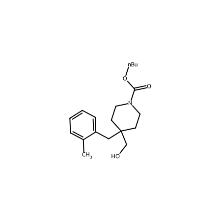 CCCCOC(=O)N1CCC(CO)(Cc2ccccc2C)CC1